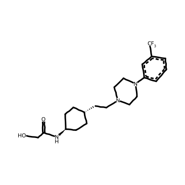 O=C(CO)N[C@H]1CC[C@H](CCN2CCN(c3cccc(C(F)(F)F)c3)CC2)CC1